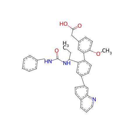 CCC(NC(=O)NCc1ccccc1)c1cc(-c2ccc3cccnc3c2)ccc1-c1cc(CC(=O)O)ccc1OC